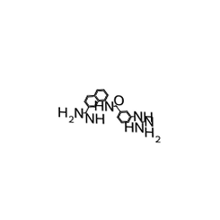 N=C(N)Nc1cccc(C(=O)Nc2cccc3ccc(C(=N)N)cc23)c1